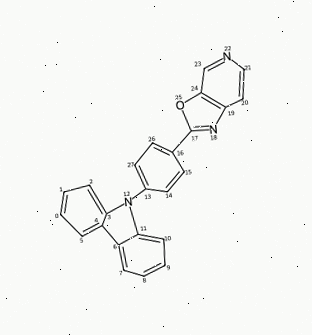 c1ccc2c(c1)c1ccccc1n2-c1ccc(-c2nc3ccncc3o2)cc1